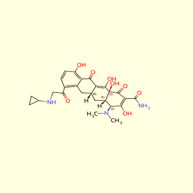 CN(C)[C@@H]1C(O)=C(C(N)=O)C(=O)[C@@]2(O)C(O)=C3C(=O)c4c(O)ccc(C(=O)CNC5CC5)c4C[C@H]3C[C@@H]12